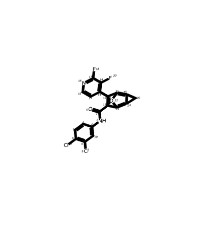 O=C(Nc1ccc(Cl)c(Cl)c1)c1c(-c2ccnc(F)c2F)c2oc1c1c2C1